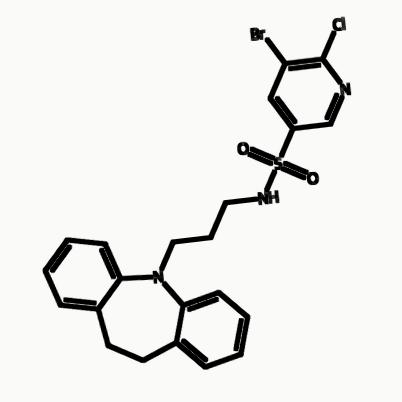 O=S(=O)(NCCCN1c2ccccc2CCc2ccccc21)c1cnc(Cl)c(Br)c1